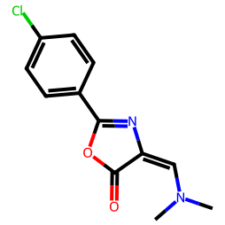 CN(C)C=C1N=C(c2ccc(Cl)cc2)OC1=O